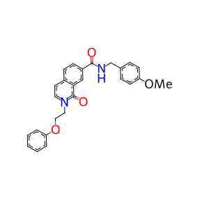 COc1ccc(CNC(=O)c2ccc3ccn(CCOc4ccccc4)c(=O)c3c2)cc1